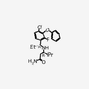 CC[C@@H](N[C@H](CC(N)=O)C(C)C)c1ccc(Cl)c(Oc2ccccc2)c1F